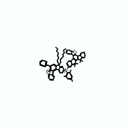 CCCCCCCC1(CCCCCCC)c2cc(N(c3ccc4c(c3)C(C)(C)c3c5c(c6oc7ccccc7c6c3-4)-c3ccccc3C5(C)C)c3c(C)cc(C)cc3C)ccc2-c2c1cc(-c1ccccc1)c1oc3ccccc3c21